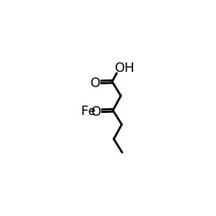 CCCC(=O)CC(=O)O.[Fe]